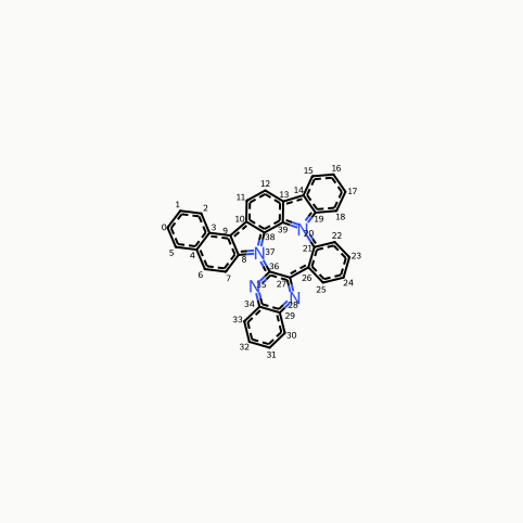 c1ccc2c(c1)ccc1c2c2ccc3c4ccccc4n4c5ccccc5c5nc6ccccc6nc5n1c2c34